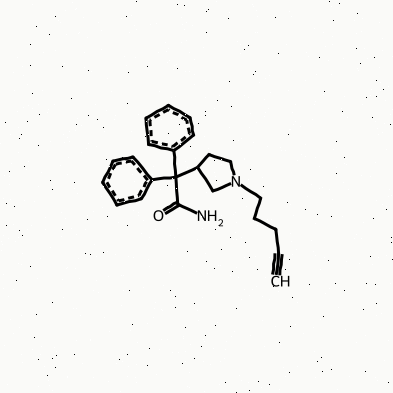 C#CCCCN1CCC(C(C(N)=O)(c2ccccc2)c2ccccc2)C1